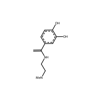 C=C(NCCNC)c1ccc(O)c(O)c1